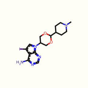 CN1CCC(C2OCC(n3cc(I)c4c(N)ncnc43)CO2)CC1